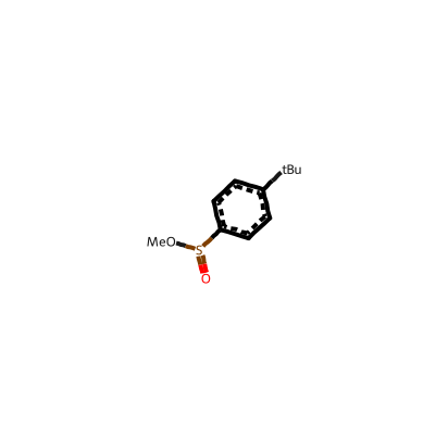 COS(=O)c1ccc(C(C)(C)C)cc1